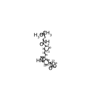 CN(C)CCNC(=O)c1cccc(C=Cc2n[nH]c3ccc(N4CCOC4=O)cc23)c1